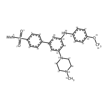 CNS(=O)(=O)c1ccc(-c2cc(N3CCN(C)CC3)cc(Nc3ccc(OC(F)(F)F)cc3)n2)cc1